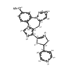 COc1ccc2c(c1)-n1nncc1Cc1c(C3=NCC(c4ccncc4)O3)ncn1-2